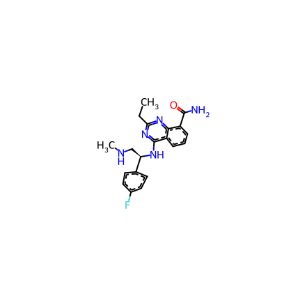 CCc1nc(N[C@H](CNC)c2ccc(F)cc2)c2cccc(C(N)=O)c2n1